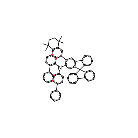 CC1(C)CCC(C)(C)c2cc(-c3cc4c(cc3N(c3ccc(-c5ccccc5)cc3)c3ccccc3-c3ccccc3)C3(c5ccccc5-c5ccccc53)c3ccccc3-4)ccc21